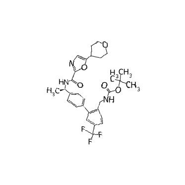 C[C@@H](NC(=O)c1ncc(C2CCOCC2)o1)c1ccc(-c2cc(C(F)(F)F)ccc2CNC(=O)OC(C)(C)C)cc1